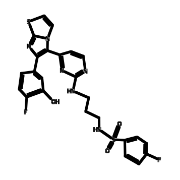 O=S(=O)(NCCCNc1nccc(-c2c(-c3ccc(F)c(O)c3)nc3sccn23)n1)c1ccc(F)cc1